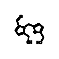 O=Cc1ccc(CO)n1Cc1ccc(CO)o1